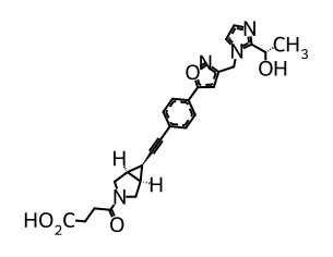 C[C@H](O)c1nccn1Cc1cc(-c2ccc(C#C[C@H]3[C@H]4CN(C(=O)CCC(=O)O)C[C@@H]34)cc2)on1